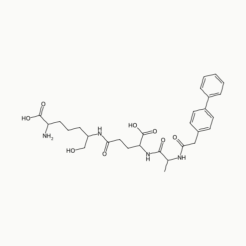 CC(NC(=O)Cc1ccc(-c2ccccc2)cc1)C(=O)NC(CCC(=O)NC(CO)CCCC(N)C(=O)O)C(=O)O